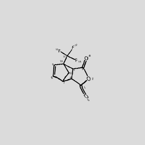 O=C1OC(=O)C2C1C1C=CC2(C(F)(F)F)C1